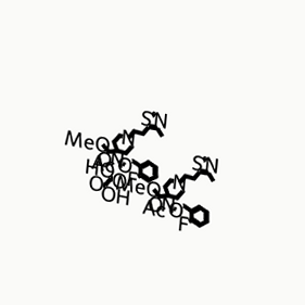 COC(=O)C1(N(OCc2ccccc2F)C(C)=O)CCN(CCc2scnc2C)CC1.COC(=O)C1(N(OCc2ccccc2F)C(C)=O)CCN(CCc2scnc2C)CC1.O=C(O)C(=O)O